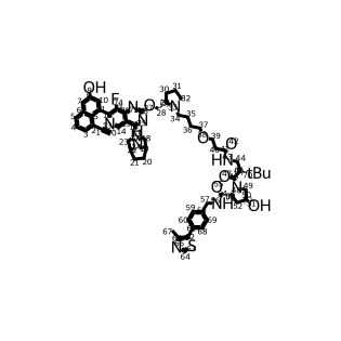 C#Cc1cccc2cc(O)cc(-c3ncc4c(N5CC6CCC(C5)N6)nc(OC[C@@H]5CCCN5CCCCOCCC(=O)NC[C@@H](C(=O)N5C[C@@H](O)C[C@@H]5C(=O)NCc5ccc(-c6scnc6C)cc5)C(C)(C)C)nc4c3F)c12